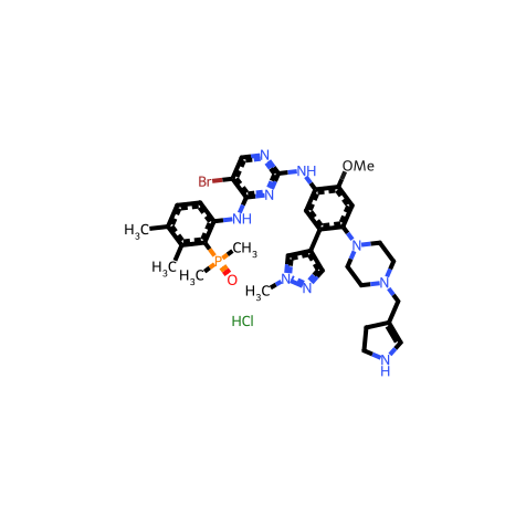 COc1cc(N2CCN(CC3=CNCC3)CC2)c(-c2cnn(C)c2)cc1Nc1ncc(Br)c(Nc2ccc(C)c(C)c2P(C)(C)=O)n1.Cl